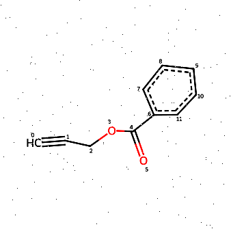 C#CCOC(=O)c1ccccc1